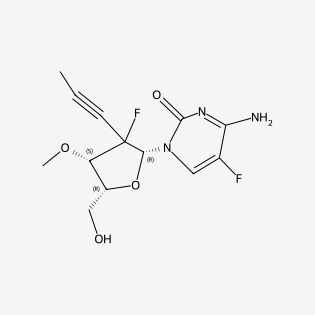 CC#CC1(F)[C@@H](OC)[C@@H](CO)O[C@H]1n1cc(F)c(N)nc1=O